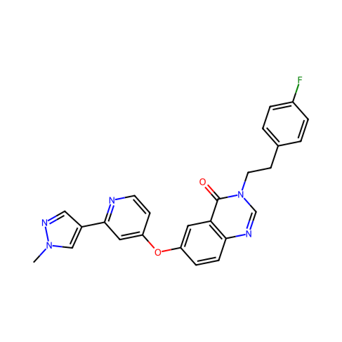 Cn1cc(-c2cc(Oc3ccc4ncn(CCc5ccc(F)cc5)c(=O)c4c3)ccn2)cn1